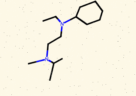 CCN(CCN(C)C(C)C)C1CCCCC1